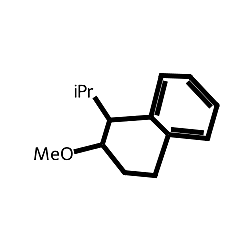 COC1CCc2ccccc2C1C(C)C